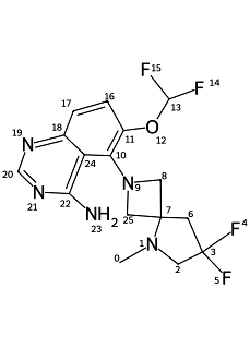 CN1CC(F)(F)CC12CN(c1c(OC(F)F)ccc3ncnc(N)c13)C2